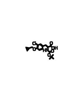 CC(C)(C)OC(=O)NC(Cc1ccc(OCC2CC2)c(Cl)c1)C(=O)O